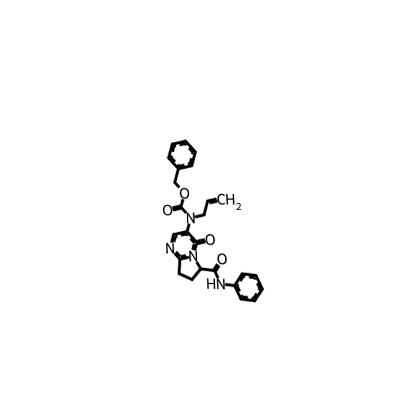 C=CCN(C(=O)OCc1ccccc1)c1cnc2n(c1=O)C(C(=O)Nc1ccccc1)CC2